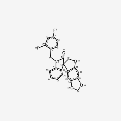 O=C1N(Cc2ccc(F)cc2F)c2ccccc2C12COc1cc3c(cc12)OCO3